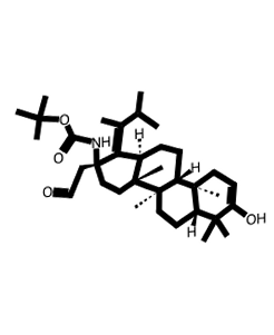 C/C(=C1/[C@H]2CC[C@@H]3[C@@]4(C)CC=C(O)C(C)(C)[C@@H]4CC[C@@]3(C)[C@]2(C)CC[C@]1(CC=O)NC(=O)OC(C)(C)C)C(C)C